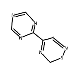 [C]1=NSCN=C1c1ncncn1